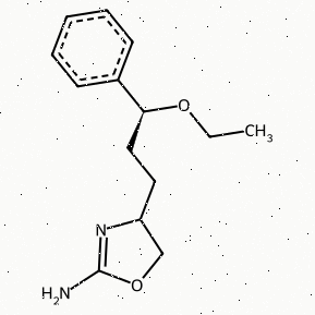 CCO[C@@H](CCC1COC(N)=N1)c1ccccc1